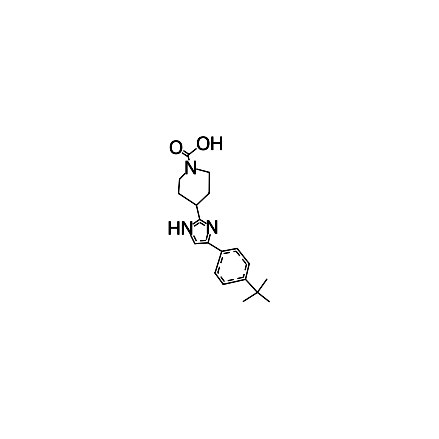 CC(C)(C)c1ccc(-c2c[nH]c(C3CCN(C(=O)O)CC3)n2)cc1